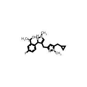 C[C@@H](O)c1cc(F)ccc1C1NN(C)C=C1Cc1cc(CC2CC2)n(C)n1